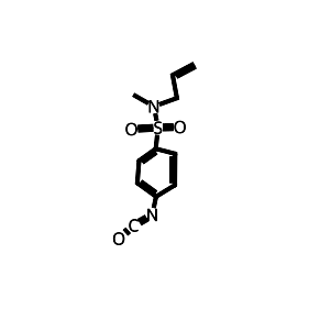 C=CCN(C)S(=O)(=O)c1ccc(N=C=O)cc1